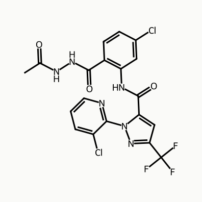 CC(=O)NNC(=O)c1ccc(Cl)cc1NC(=O)c1cc(C(F)(F)F)nn1-c1ncccc1Cl